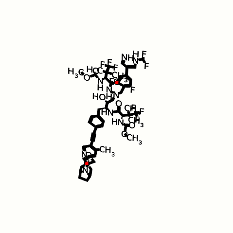 COC(=O)N[C@H](C(=O)N[C@@H](Cc1ccc(C#Cc2cnc(N3CC4CCC(C3)N4C3COC3)cc2C)cc1)[C@@H](O)CN(Cc1c(F)cc(/C(C=N)=C/NC(F)F)cc1F)NC(=O)[C@@H](NC(=O)OC)C(C)(C)C(F)(F)F)C(C)(C)C(F)(F)F